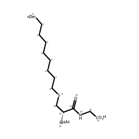 CCCCCCCCCCCCCCCCCCSC[C@@H](NC(C)=O)C(=O)NCC(=O)O